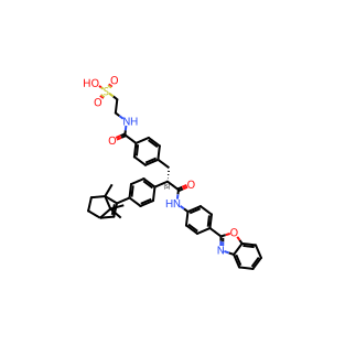 CC12CCC(C=C1c1ccc([C@H](Cc3ccc(C(=O)NCCS(=O)(=O)O)cc3)C(=O)Nc3ccc(-c4nc5ccccc5o4)cc3)cc1)C2(C)C